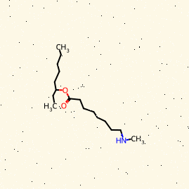 CCCCCC(CC)OC(=O)CCCCCCCNC